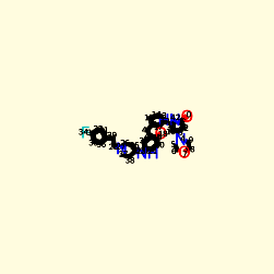 O=c1cc(N2CCOCC2)cc(-c2cccc3c2Oc2ccc(NC4CCN(CCc5ccc(F)cc5)CC4)cc2C3)[nH]1